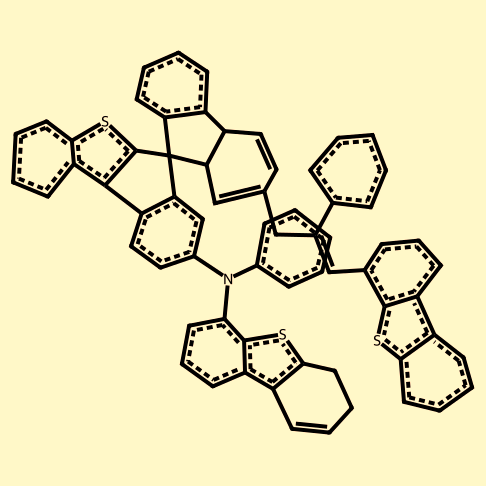 C1=Cc2c(sc3c(N(c4ccccc4)c4ccc5c(c4)C4(c6ccccc6C6C=CC(C/C(=C/c7cccc8c7sc7ccccc78)c7ccccc7)=CC64)c4sc6ccccc6c4-5)cccc23)CC1